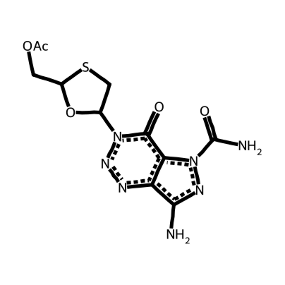 CC(=O)OCC1OC(n2nnc3c(N)nn(C(N)=O)c3c2=O)CS1